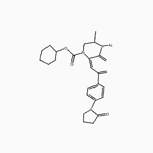 C=C(/C=C1\C(=C)N(C(C)=O)C(C)CN1C(=O)OC1CCCCC1)c1ccc(N2CCCC2=O)cc1